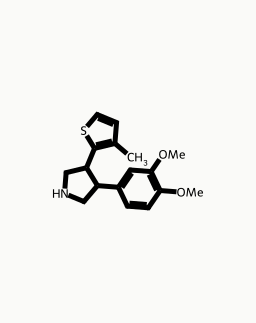 COc1ccc(C2CNCC2c2sccc2C)cc1OC